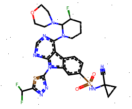 N#CC1(NS(=O)(=O)c2ccc3c4c(N5CCC[C@H](F)C5N5CCOCC5)ncnc4n(-c4nnc(C(F)F)s4)c3c2)CC1